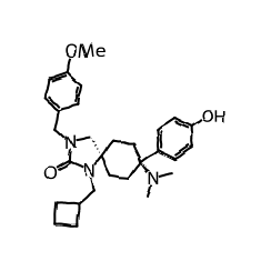 COc1ccc(CN2C[C@]3(CC[C@](c4ccc(O)cc4)(N(C)C)CC3)N(CC3CCC3)C2=O)cc1